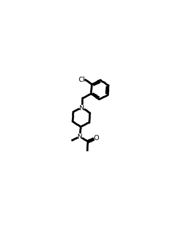 CC(=O)N(C)C1CCN(Cc2ccccc2Cl)CC1